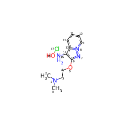 CN(C)CCOc1nn2ccccc2c1N.OCl